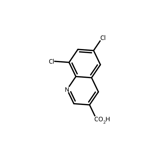 O=C(O)c1cnc2c(Cl)cc(Cl)cc2c1